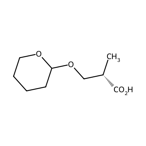 C[C@@H](COC1CCCCO1)C(=O)O